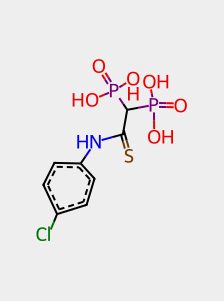 O=P(O)(O)C(C(=S)Nc1ccc(Cl)cc1)P(=O)(O)O